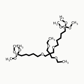 CCOCC(COCC)(COCCCCC[Si](OC)(OC)OC)COCCCCC[Si](OC)(OC)OC